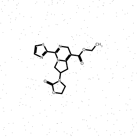 CCOC(=O)C1=C2CC(N3CCOC3=O)CN2C(c2nccs2)=NC1